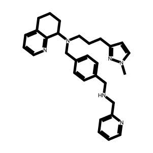 Cn1ccc(CCCN(Cc2ccc(CNCc3ccccn3)cc2)C2CCCc3cccnc32)n1